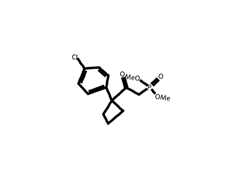 COP(=O)(CC(=O)C1(c2ccc(Cl)cc2)CCC1)OC